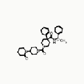 C[C@H](NC(=O)C1(C2=CC=CCC2)CCN(C(=O)N2CCC(N3CCCCC3=O)CC2)CC1)C1=CC=CCC1